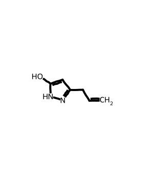 C=CCc1cc(O)[nH]n1